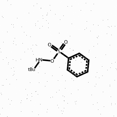 CC(C)(C)NOS(=O)(=O)c1ccccc1